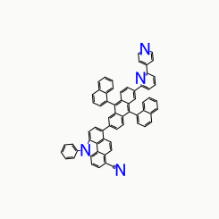 N#Cc1ccc2c3c1ccc1c(-c4ccc5c(-c6cccc7ccccc67)c6cc(-c7cccc(-c8ccncc8)n7)ccc6c(-c6cccc7ccccc67)c5c4)ccc(c13)n2-c1ccccc1